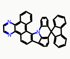 c1ccc2c(c1)-c1ccccc1C21c2ccccc2-n2c3c1cccc3c1ccc3c4nccnc4c4ccccc4c3c12